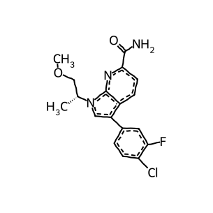 COC[C@@H](C)n1cc(-c2ccc(Cl)c(F)c2)c2ccc(C(N)=O)nc21